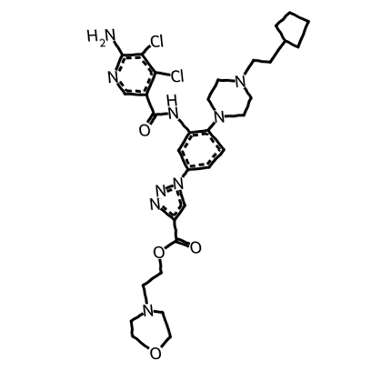 Nc1ncc(C(=O)Nc2cc(-n3cc(C(=O)OCCN4CCOCC4)nn3)ccc2N2CCN(CCC3CCCC3)CC2)c(Cl)c1Cl